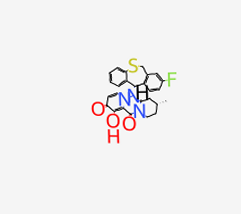 C[C@@H]1CCN2C(=O)c3c(O)c(=O)ccn3N([C@H]3c4ccc(F)cc4CSc4ccccc43)[C@@H]2C1